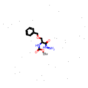 CC(C)(C)OC(=O)NC(COCc1ccccc1)C(=O)NN